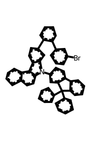 Brc1cccc(-c2ccccc2-c2ccc3c4c5ccccc5ccc4n(-c4ccc5c(c4)C(c4ccccc4)(c4ccccc4)c4ccccc4-5)c3c2)c1